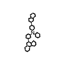 c1ccc(N(c2ccc(-c3ccc4ccccc4c3)cc2)c2cccc(-c3cc4ccccc4c4ccccc34)c2)cc1